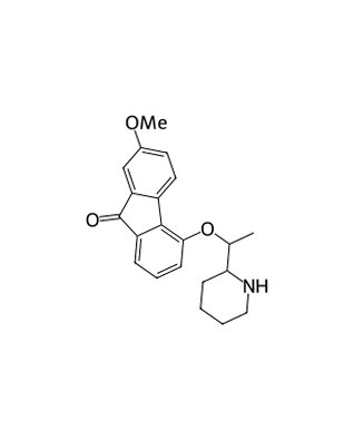 COc1ccc2c(c1)C(=O)c1cccc(OC(C)C3CCCCN3)c1-2